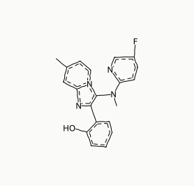 Cc1ccn2c(N(C)c3ccc(F)cn3)c(-c3ccccc3O)nc2c1